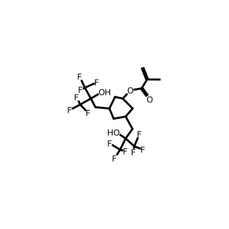 C=C(C)C(=O)OC1CC(CC(O)(C(F)(F)F)C(F)(F)F)CC(CC(O)(C(F)(F)F)C(F)(F)F)C1